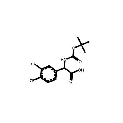 CC(C)(C)OC(=O)NC(C(=O)O)c1ccc(Cl)c(Cl)c1